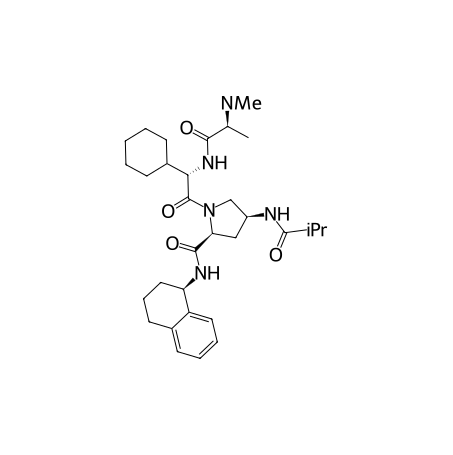 CN[C@@H](C)C(=O)N[C@H](C(=O)N1C[C@@H](NC(=O)C(C)C)C[C@H]1C(=O)N[C@@H]1CCCc2ccccc21)C1CCCCC1